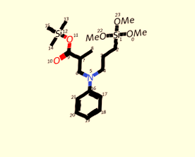 CO[Si](CCCN(CC(C)C(=O)O[Si](C)(C)C)c1ccccc1)(OC)OC